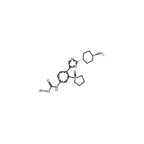 CC(C)OC(=O)Nc1ccc(-c2cnc([C@H]3CC[C@H](N)CC3)s2)c(P2(=O)CCCC2)c1